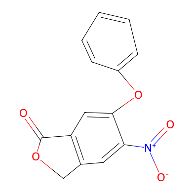 O=C1OCc2cc([N+](=O)[O-])c(Oc3ccccc3)cc21